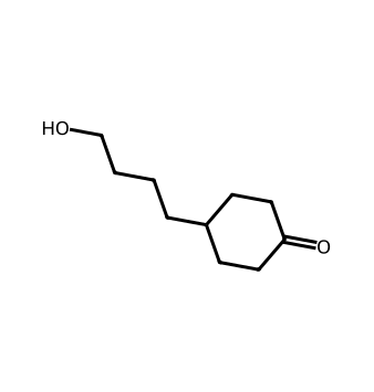 O=C1CCC(CCCCO)CC1